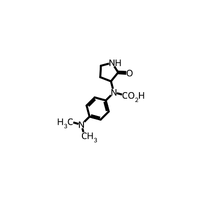 CN(C)c1ccc(N(C(=O)O)C2CCNC2=O)cc1